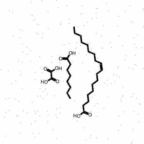 CCCCCCCC(=O)O.CCCCCCCC/C=C\CCCCCCCC(=O)O.O=C(O)C(=O)O